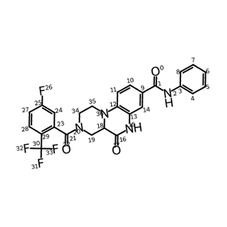 O=C(Nc1ccccc1)c1ccc2c(c1)NC(=O)C1CN(C(=O)c3cc(F)ccc3C(F)(F)F)CCN21